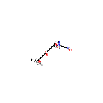 CCC(C)C(=O)CCCCCCCC(=O)OCCCCCCCCC(C)(CC)OC(=O)NCCCCCCCN=C=O